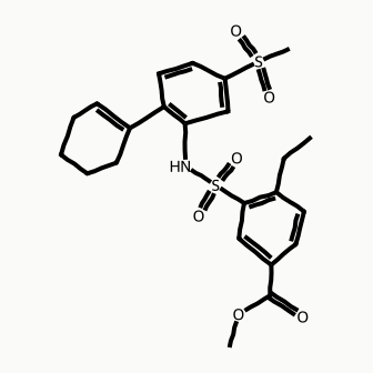 CCc1ccc(C(=O)OC)cc1S(=O)(=O)Nc1cc(S(C)(=O)=O)ccc1C1=CCCCC1